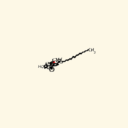 CCCCCCCCCCCCCCCCCCOC(=O)c1ccc2c(c1)C1(OC2=O)c2ccc(O)cc2Oc2cc(O)ccc21